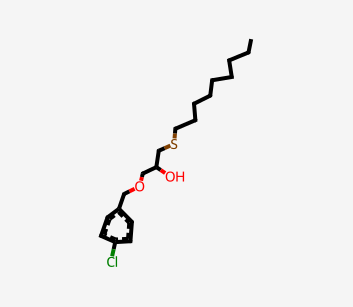 CCCCCCCCCSCC(O)COCc1ccc(Cl)cc1